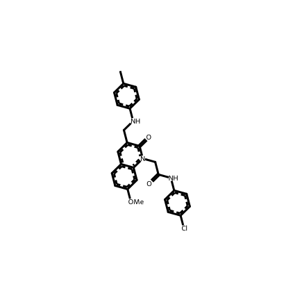 COc1ccc2cc(CNc3ccc(C)cc3)c(=O)n(CC(=O)Nc3ccc(Cl)cc3)c2c1